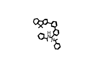 CC(NC(c1cccc(-c2cccc(-c3ccc4c(c3)C(C)(C)C3=C4CCCC3)c2)c1)N(C)C(C)C1=CC=CCC1)c1ccccc1